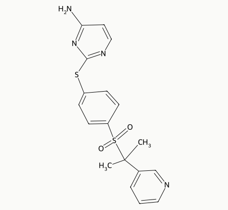 CC(C)(c1cccnc1)S(=O)(=O)c1ccc(Sc2nccc(N)n2)cc1